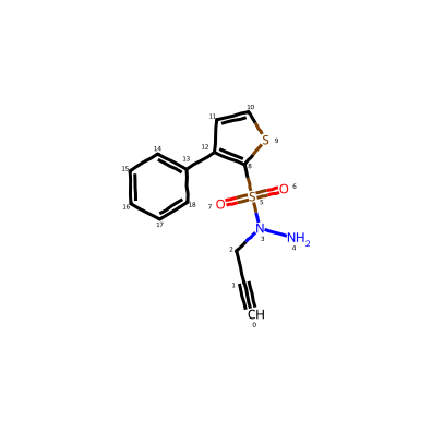 C#CCN(N)S(=O)(=O)c1sccc1-c1ccccc1